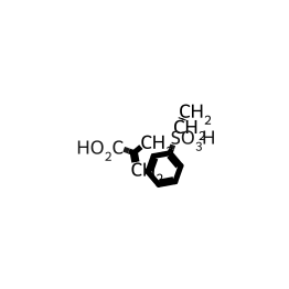 C=C.C=C(C)C(=O)O.O=S(=O)(O)c1ccccc1